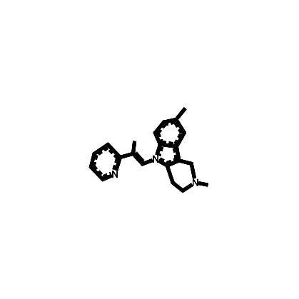 CC(=Cn1c2c(c3cc(C)ccc31)CN(C)CC2)c1ccccn1